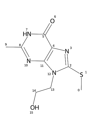 CSc1nc2c(=O)[nH]c(C)nc2n1CCO